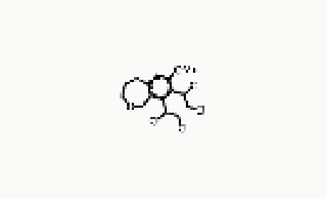 COc1cc2c(c(C(Cl)CCl)c1C(Cl)CCl)COCCC2